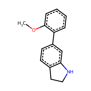 COc1ccccc1-c1ccc2c(c1)NCC2